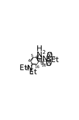 CCN(CC)c1ccc(N)c(C(C)NS(=O)(=O)CC)c1